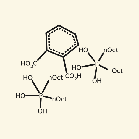 CCCCCCCCP(O)(O)(O)CCCCCCCC.CCCCCCCCP(O)(O)(O)CCCCCCCC.O=C(O)c1ccccc1C(=O)O